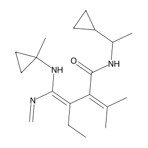 C=N/C(NC1(C)CC1)=C(\CC)C(C(=O)NC(C)C1CC1)=C(C)C